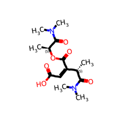 C[C@H](C(=O)N(C)C)C(=CC(=O)O)C(=O)O[C@@H](C)C(=O)N(C)C